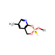 CCOP1(=S)OCc2cc(C)cnc2O1